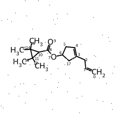 C=CCC1=CCC(OC(=O)C2C(C)(C)C2(C)C)C1